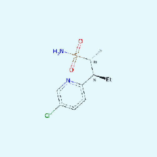 CC[C@@H](c1ccc(Cl)cn1)[C@@H](C)S(N)(=O)=O